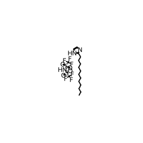 CCCCCCCCCCCCc1ncc[nH]1.O=S(=O)(NS(=O)(=O)C(F)(F)F)C(F)(F)F